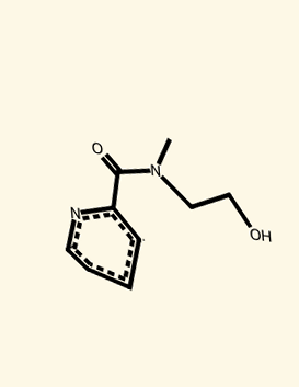 CN(CCO)C(=O)c1[c]cccn1